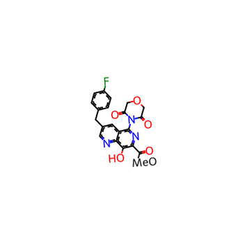 COC(=O)c1nc(N2C(=O)COCC2=O)c2cc(Cc3ccc(F)cc3)cnc2c1O